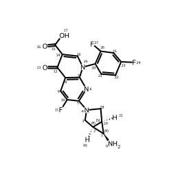 N[C@H]1[C@H]2CN(c3nc4c(cc3F)c(=O)c(C(=O)O)cn4-c3ccc(F)cc3F)C[C@@H]12